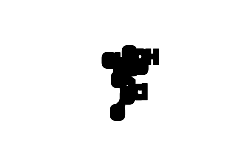 COCCCOc1cc2c(cc1Cl)-c1cc(=O)c(C(=O)O)cn1[C@H](CCO)CO2